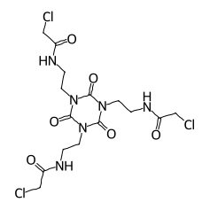 O=C(CCl)NCCn1c(=O)n(CCNC(=O)CCl)c(=O)n(CCNC(=O)CCl)c1=O